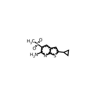 CS(=O)(=O)c1cc2cc(C3CC3)sc2nc1N